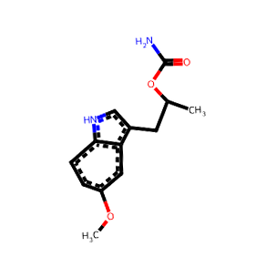 COc1ccc2[nH]cc(CC(C)OC(N)=O)c2c1